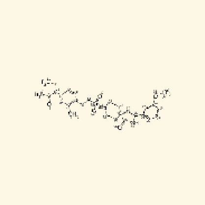 Cc1cc(N(CC(F)(F)F)C(N)=O)ccc1CCS(=O)(=O)N1CCC2(CC1)N=C(c1cccc(OC(F)(F)F)c1)NC2=O